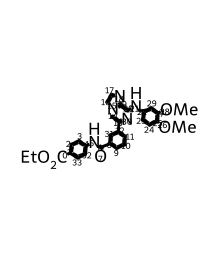 CCOC(=O)c1ccc(NC(=O)c2cccc(-c3cn4ccnc4c(Nc4ccc(OC)c(OC)c4)n3)c2)cc1